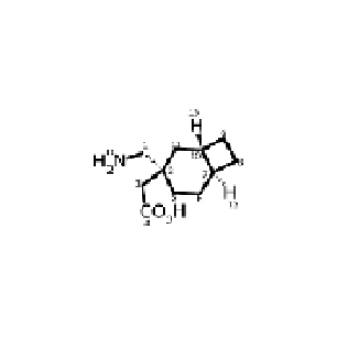 NC[C@@]1(CC(=O)O)CC[C@@H]2CC[C@H]2C1